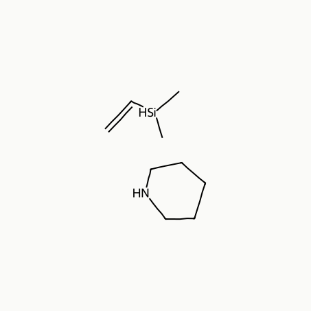 C1CCNCC1.C=C[SiH](C)C